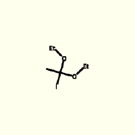 CCOC(C)(I)OCC